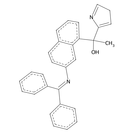 CC(O)(C1=CCC=N1)c1cccc2ccc(N=C(c3ccccc3)c3ccccc3)cc12